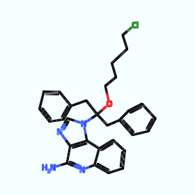 Nc1nc2ccccc2c2c1ncn2C(Cc1ccccc1)(Cc1ccccc1)OCCCCCCl